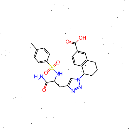 Cc1ccc(S(=O)(=O)NC(Cc2cn(C3CCCc4cc(C(=O)O)ccc43)nn2)C(N)=O)cc1